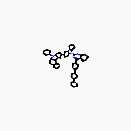 C1=CCC(N2c3ccc4ccccc4c3C3C=C(C4=CC5c6ccccc6N(c6nc(-c7ccc(-c8ccc(-c9ccccc9)cc8)cc7)c7ccccc7n6)C5C=C4)C=CC32)C=C1